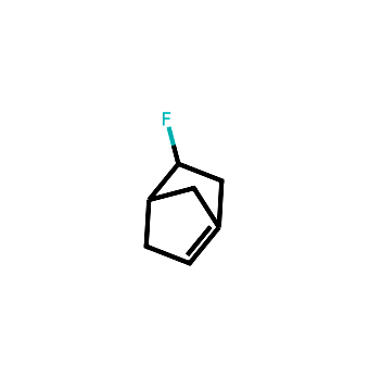 FC1CC2=CCC1C2